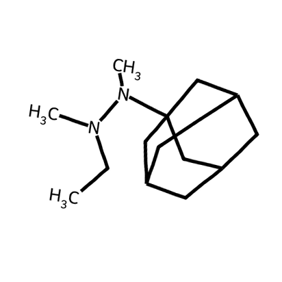 CCN(C)N(C)C12CC3CC(CC(C3)C1)C2